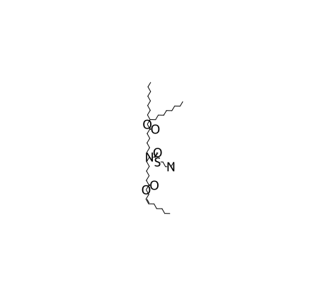 CCCCC/C=C\COC(=O)CCCCCN(CCCCCC(=O)OC(CCCCCCCC)CCCCCCCC)C(=O)SCCN(C)C